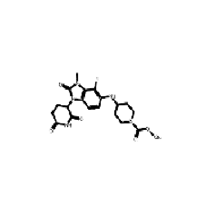 Cn1c(=O)n(C2CCC(=O)NC2=O)c2ccc(NC3CCN(C(=O)OC(C)(C)C)CC3)c(F)c21